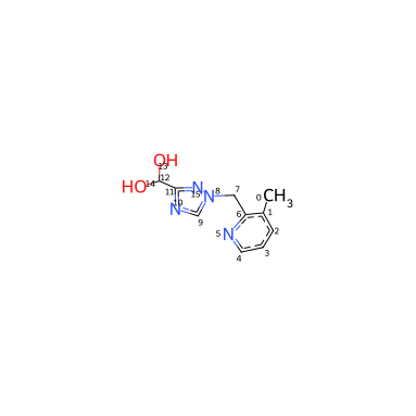 Cc1cccnc1Cn1cnc(C(O)O)n1